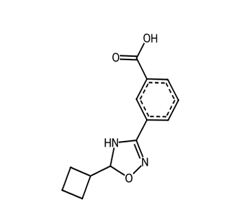 O=C(O)c1cccc(C2=NOC(C3CCC3)N2)c1